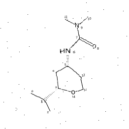 CC(C)[C@@H]1C[C@H](NC(=O)N(C)C)CCO1